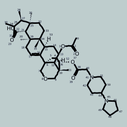 CC(=O)O[C@@H]1C[C@@]23COC[C@](C)([C@@H]2CC[C@H]2C3=CC[C@@]3(C)[C@H](C(=O)O)[C@@](C)([C@H](C)C(C)C)CC[C@]23C)[C@H]1OC(=O)CN1CCC(N2CCCC2)CC1